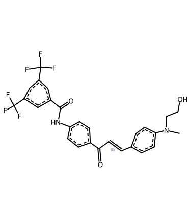 CN(CCO)c1ccc(/C=C/C(=O)c2ccc(NC(=O)c3cc(C(F)(F)F)cc(C(F)(F)F)c3)cc2)cc1